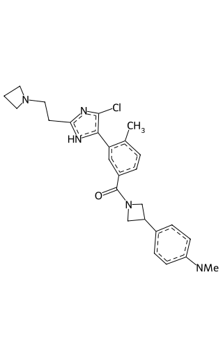 CNc1ccc(C2CN(C(=O)c3ccc(C)c(-c4[nH]c(CCN5CCC5)nc4Cl)c3)C2)cc1